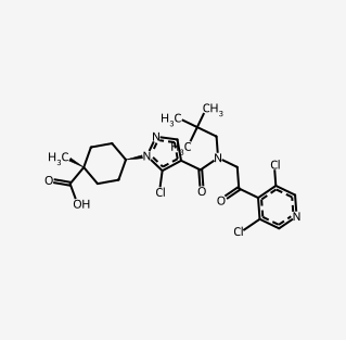 CC(C)(C)CN(CC(=O)c1c(Cl)cncc1Cl)C(=O)c1cnn([C@H]2CC[C@](C)(C(=O)O)CC2)c1Cl